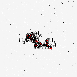 CCCCC1(CC)CS(=O)(=O)c2ccc(N(C)C)cc2C(c2cccc(NC(=O)COCCOCCOCC(=O)NCc3ccc(N4C(=O)C(CCC(O)c5ccccc5)C4c4ccc(OC)cc4)cc3)c2)C1O.O=C(O)C(F)(F)F